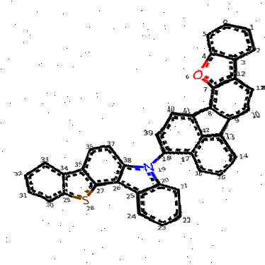 c1ccc2c(c1)oc1c3c(ccc12)-c1cccc2c(-n4c5ccccc5c5c6sc7ccccc7c6ccc54)ccc-3c12